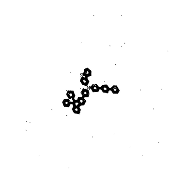 c1ccc(-c2ccc(-c3ccc(N(c4ccc(-c5ccc6c(c5)c(-c5ccccc5)c(-c5ccccc5)c5ccccc56)cc4)c4ccc5sc6ccccc6c5c4)cc3)cc2)cc1